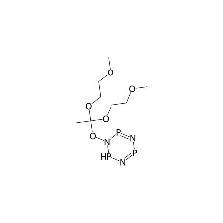 COCCOC(C)(OCCOC)ON1P=NP=NP1